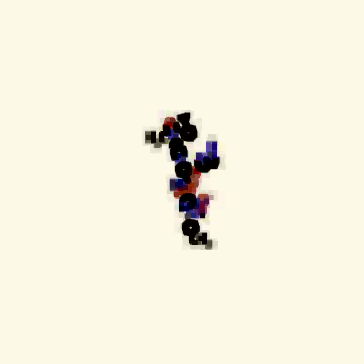 CC1COC[C@@H](c2ccccc2C2CC2)N1C1CC2(CCN(c3ccc(C(=O)NS(=O)(=O)c4cnc(NC[C@H]5CC[C@@H](C)CC5)c([N+](=O)[O-])c4)c(Oc4cnc5[nH]ccc5c4)c3)CC2)C1